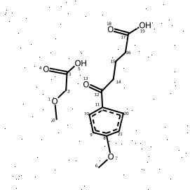 COCC(=O)O.COc1ccc(C(=O)CCCC(=O)O)cc1